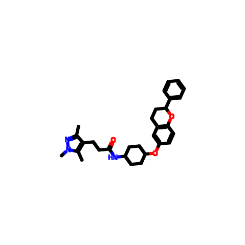 Cc1nn(C)c(C)c1CCC(=O)NC1CCC(Oc2ccc3c(c2)CCC(c2ccccc2)O3)CC1